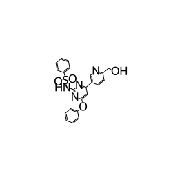 O=S(=O)(Nc1nc(Oc2ccccc2)cc(-c2ccc(CO)nc2)n1)c1ccccc1